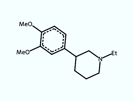 CCN1CCCC(c2ccc(OC)c(OC)c2)C1